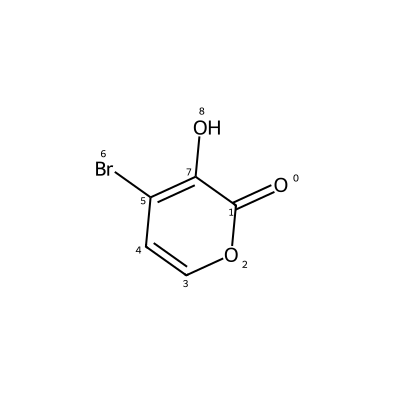 O=c1occc(Br)c1O